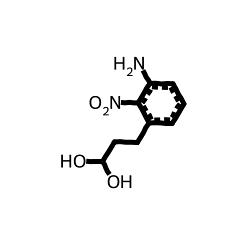 Nc1cccc(CCC(O)O)c1[N+](=O)[O-]